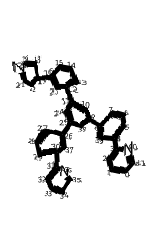 c1ccc(-c2cccc(-c3cc(-c4cccc(-c5ccncc5)c4)cc(-c4cccc(-c5ccccn5)c4)c3)c2)nc1